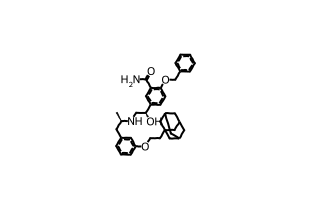 C[C@H](Cc1cccc(OCCC23CC4CC(CC(C4)C2)C3)c1)NC[C@H](O)c1ccc(OCc2ccccc2)c(C(N)=O)c1